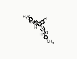 Cc1ccc(NC(=O)Nc2cc(N3CCN(C(=O)Nc4ccc(C)cc4)CC3)c3ccc(CI)cc3n2)cc1